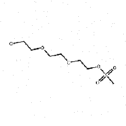 CS(=O)(=O)OCCOCCOCCCl